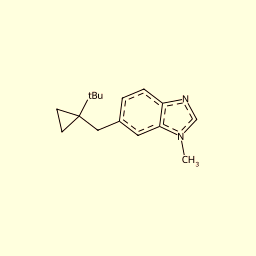 Cn1cnc2ccc(CC3(C(C)(C)C)CC3)cc21